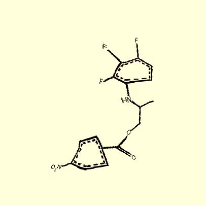 CC(COC(=O)c1ccc([N+](=O)[O-])cc1)Nc1ccc(F)c(F)c1F